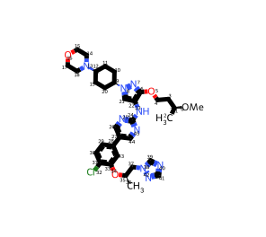 CO[C@@H](C)CCOc1nn([C@H]2CC[C@H](N3CCOCC3)CC2)cc1Nc1ncc(-c2ccc(Cl)c(O[C@@H](C)Cn3cncn3)c2)cn1